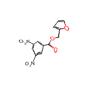 O=C(OCc1ccco1)c1cc([N+](=O)[O-])cc([N+](=O)[O-])c1